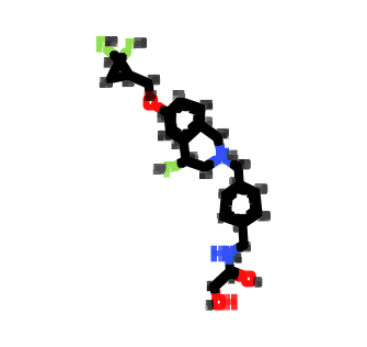 O=C(CO)NCc1ccc(CN2Cc3ccc(OCC4CC4(F)F)cc3C(F)C2)cc1